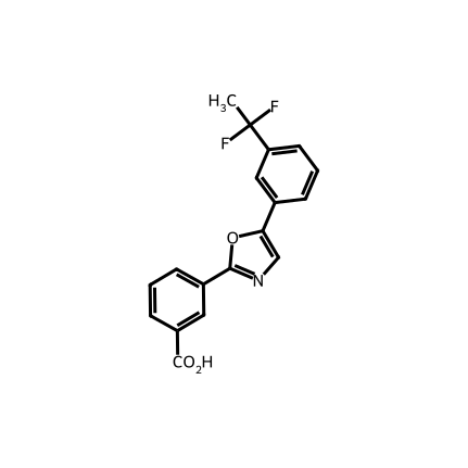 CC(F)(F)c1cccc(-c2cnc(-c3cccc(C(=O)O)c3)o2)c1